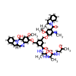 C=Nc1cc(OCc2cc(COc3cc4c(cc3OC)C(O)N3c5ccccc5C[C@H]3C=N4)cc(C(=O)N[C@@H](C)C(=O)N[C@@H](C)C(=O)NCCC(C)=O)c2)c(OC)cc1C(=O)N1c2ccccc2C[C@H]1C